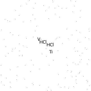 Cl.Cl.[Ti].[V]